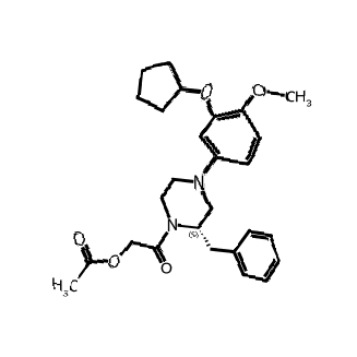 COc1ccc(N2CCN(C(=O)COC(C)=O)[C@@H](Cc3ccccc3)C2)cc1OC1CCCC1